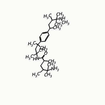 CNC(C)(C)C(C)CC(C)c1ccc(C(C)(C)CC(C)(C)NC(=O)C(C)CC(C)C(C)(C)N)cc1